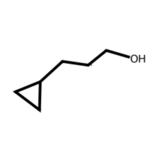 OC[CH]CC1CC1